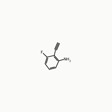 C#Cc1c(N)cccc1F